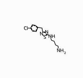 NCCCCNc1nc(Cc2ccc(Cl)cc2)ns1